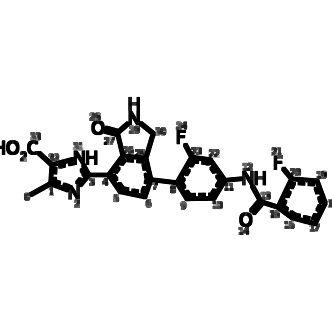 Cc1nc(-c2ccc(-c3ccc(NC(=O)c4ccccc4F)cc3F)c3c2C(=O)NC3)[nH]c1C(=O)O